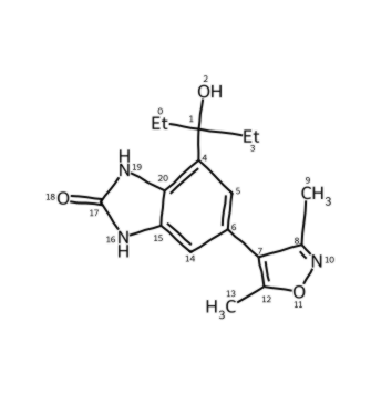 CCC(O)(CC)c1cc(-c2c(C)noc2C)cc2[nH]c(=O)[nH]c12